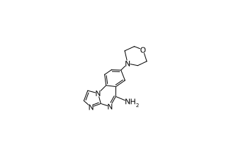 Nc1nc2nccn2c2ccc(N3CCOCC3)cc12